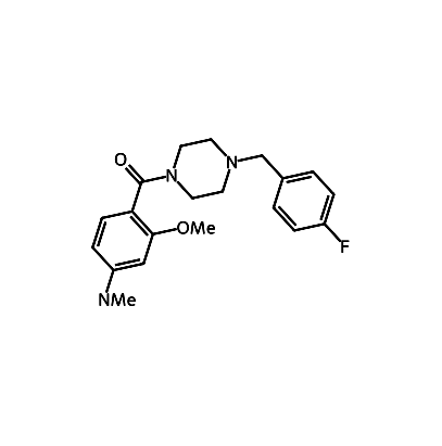 CNc1ccc(C(=O)N2CCN(Cc3ccc(F)cc3)CC2)c(OC)c1